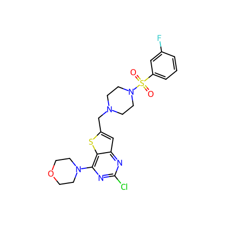 O=S(=O)(c1cccc(F)c1)N1CCN(Cc2cc3nc(Cl)nc(N4CCOCC4)c3s2)CC1